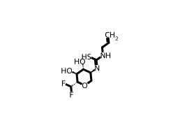 C=CCN/C(S)=N/[C@H]1CO[C@H](C(F)F)[C@@H](O)[C@@H]1O